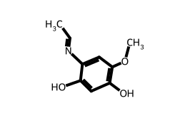 C/C=N/c1cc(OC)c(O)cc1O